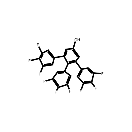 Oc1cc(-c2cc(F)c(F)c(F)c2)c(-c2cc(F)c(F)c(F)c2)c(-c2cc(F)c(F)c(F)c2)c1